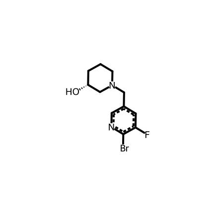 O[C@@H]1CCCN(Cc2cnc(Br)c(F)c2)C1